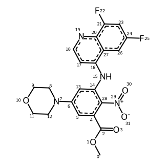 COC(=O)c1cc(N2CCOCC2)cc(Nc2ccnc3c(F)cc(F)cc23)c1[N+](=O)[O-]